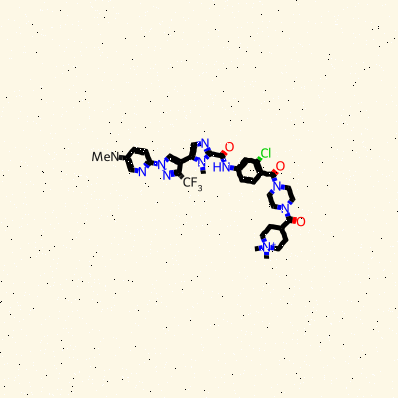 CNc1ccc(-n2cc(-c3cnc(C(=O)Nc4ccc(C(=O)N5CCN(C(=O)C6CC[N+](C)(C)CC6)CC5)c(Cl)c4)n3C)c(C(F)(F)F)n2)nc1